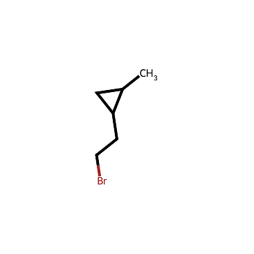 CC1CC1CCBr